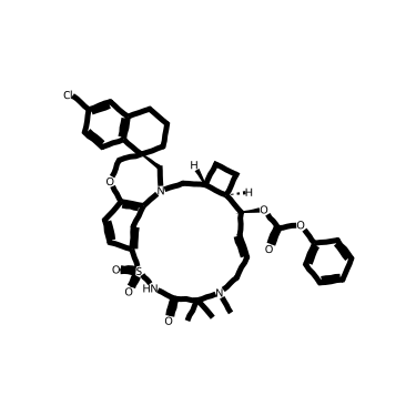 CN1C/C=C/[C@H](OC(=O)Oc2ccccc2)[C@@H]2CC[C@H]2CN2C[C@@]3(CCCc4cc(Cl)ccc43)COc3ccc(cc32)S(=O)(=O)NC(=O)C1(C)C